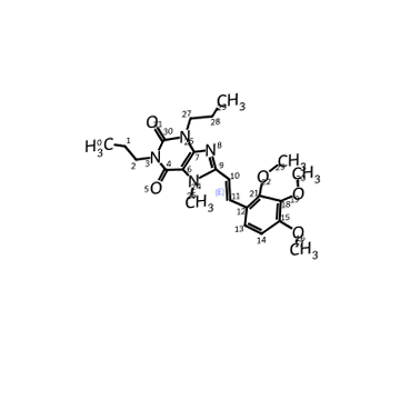 CCCn1c(=O)c2c(nc(/C=C/c3ccc(OC)c(OC)c3OC)n2C)n(CCC)c1=O